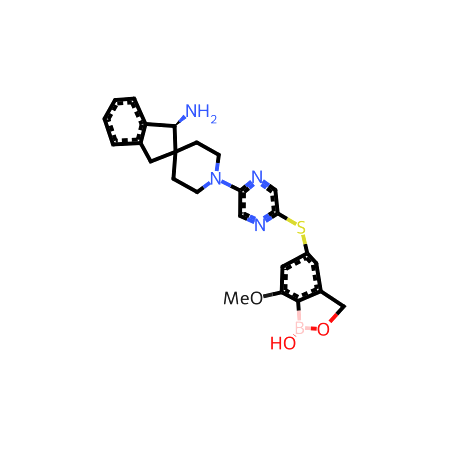 COc1cc(Sc2cnc(N3CCC4(CC3)Cc3ccccc3[C@H]4N)cn2)cc2c1B(O)OC2